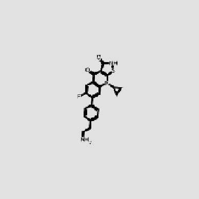 NCCc1ccc(-c2cc3c(cc2F)c(=O)c2c(=O)[nH]sc2n3C2CC2)cc1